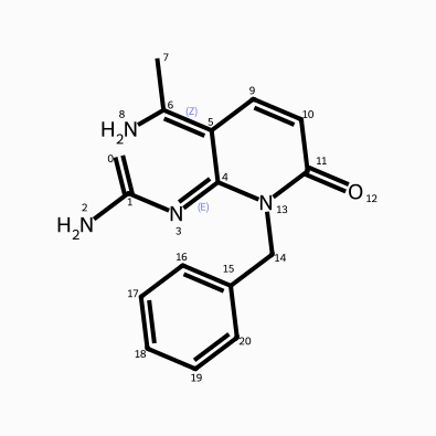 C=C(N)/N=C1\C(=C(\C)N)C=CC(=O)N1Cc1ccccc1